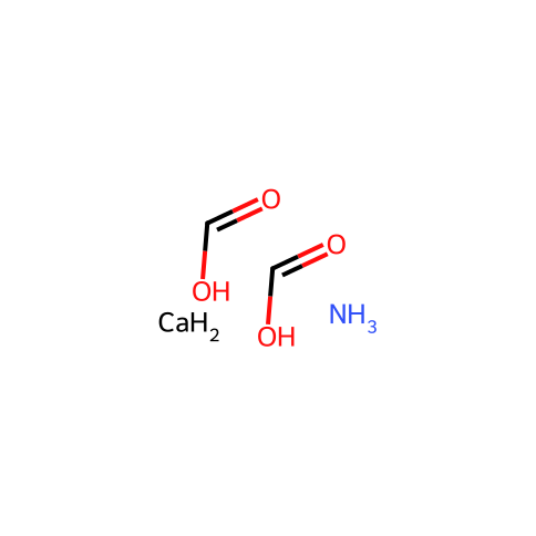 N.O=CO.O=CO.[CaH2]